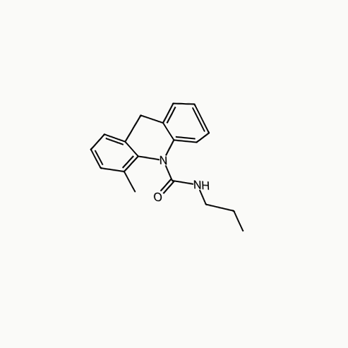 CCCNC(=O)N1c2ccccc2Cc2cccc(C)c21